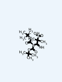 CC(C)(C)OC(=O)N(C(=N)C(C)(C)[SH](=O)=O)C(=O)OC(C)(C)C